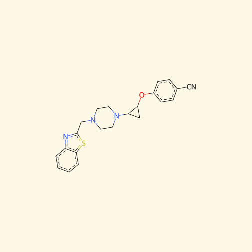 N#Cc1ccc(OC2CC2N2CCN(Cc3nc4ccccc4s3)CC2)cc1